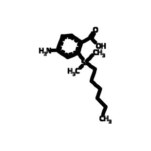 CCCCCC[Si](C)(C)c1cc(N)ccc1C(=O)O